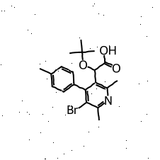 Cc1ccc(-c2c(Br)c(C)nc(C)c2C(OC(C)(C)C)C(=O)O)cc1